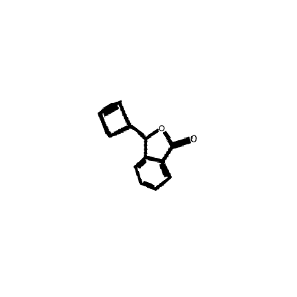 O=C1OC(C2C=CC2)c2ccccc21